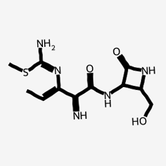 C/C=C(\N=C(\N)SC)C(=N)C(=O)NC1C(=O)NC1CO